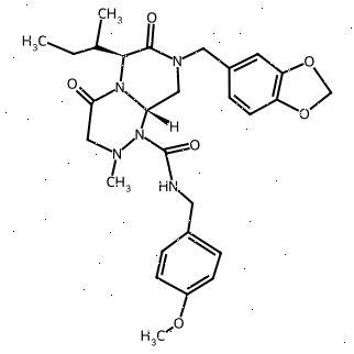 CCC(C)[C@H]1C(=O)N(Cc2ccc3c(c2)OCO3)C[C@H]2N1C(=O)CN(C)N2C(=O)NCc1ccc(OC)cc1